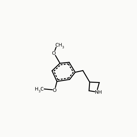 COc1cc(CC2CNC2)cc(OC)c1